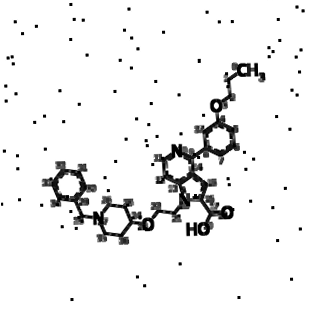 CCCOc1cccc(-c2nccc3c2cc(C(=O)O)n3CCOC2CCN(Cc3ccccc3)CC2)c1